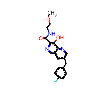 COCCNC(=O)c1ncc2cc(Cc3ccc(F)cc3)cnc2c1O